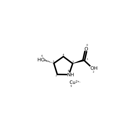 O=C(O)[C@@H]1C[C@@H](O)CN1.[Cu+2]